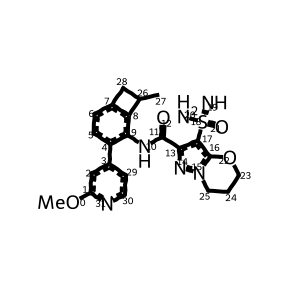 COc1cc(-c2ccc3c(c2NC(=O)c2nn4c(c2S(=N)(N)=O)OCCC4)C(C)C3)ccn1